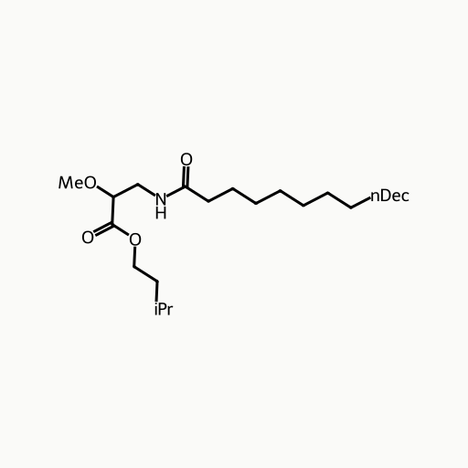 CCCCCCCCCCCCCCCCCC(=O)NCC(OC)C(=O)OCCC(C)C